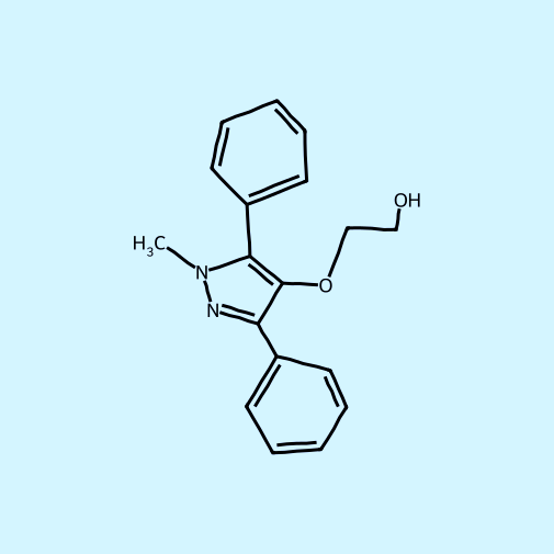 Cn1nc(-c2ccccc2)c(OCCO)c1-c1ccccc1